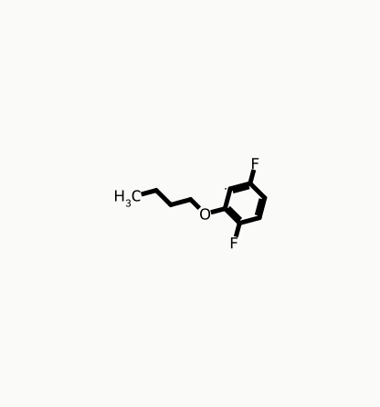 CCCCOc1[c]c(F)ccc1F